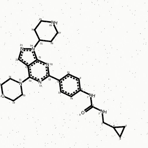 O=C(NCC1CC1)Nc1ccc(-c2nc(N3CCOCC3)c3cnn(C4CCNCC4)c3n2)cc1